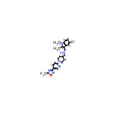 Cc1c(CNCC2CCN(c3ccc(-c4noc(C(F)(F)F)n4)cn3)CC2)c2cc(Cl)ccc2n1C